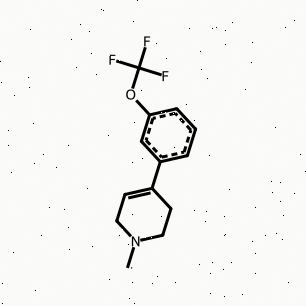 [CH2]N1CC=C(c2cccc(OC(F)(F)F)c2)CC1